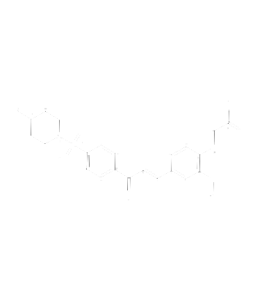 COc1cc(/C=C/C(=O)c2ccc(S(=O)(=O)N3CCC(C)CC3)cc2)ccc1OCC(=O)O